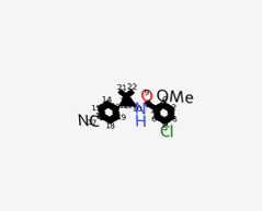 COc1ccc(Cl)cc1C(=O)N[C@H]1[C@H](c2ccc(C#N)cc2)C1(C)C